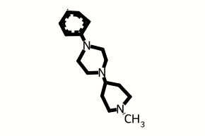 CN1CCC(N2CCN(c3cc[c]cc3)CC2)CC1